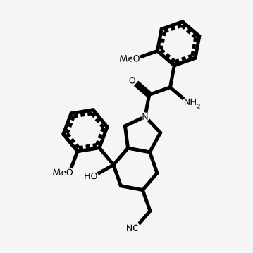 COc1ccccc1C(N)C(=O)N1CC2CC(CC#N)CC(O)(c3ccccc3OC)C2C1